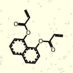 C=CC(=O)Oc1cccc2cccc(OC(=O)C=C)c12